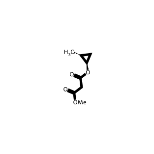 COC(=O)CC(=O)O[C@@H]1C[C@H]1C